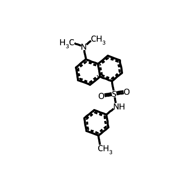 Cc1cccc(NS(=O)(=O)c2cccc3c(N(C)C)cccc23)c1